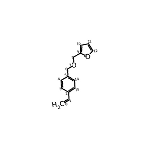 C=Cc1ccc(COCc2ccco2)cc1